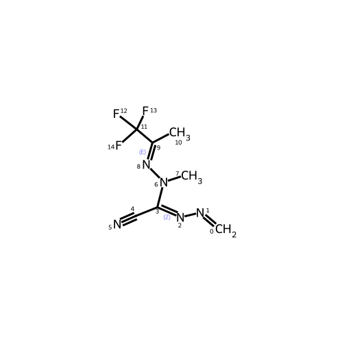 C=N/N=C(/C#N)N(C)/N=C(\C)C(F)(F)F